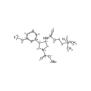 CC(C)(C)OC(=O)N1CC(NC(=O)OCC[Si](C)(C)C)C(c2cccc(OC(F)(F)F)c2)C1